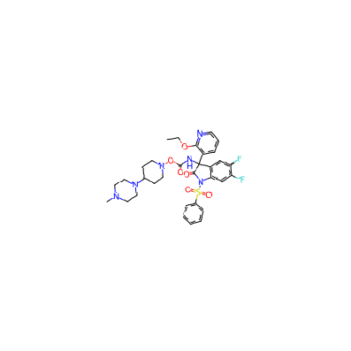 CCOc1ncccc1C1(NC(=O)ON2CCC(N3CCN(C)CC3)CC2)C(=O)N(S(=O)(=O)c2ccccc2)c2cc(F)c(F)cc21